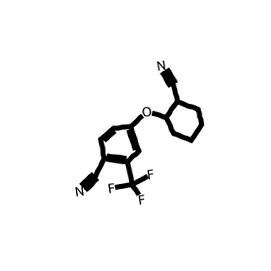 N#Cc1ccc(OC2CCCCC2C#N)cc1C(F)(F)F